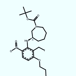 CCCCOc1ccc([N+](=O)[O-])c(N[C@@H]2CCCCN(C(=O)OC(C)(C)C)C2)c1CI